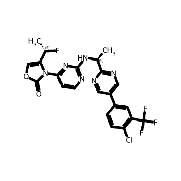 C[C@H](F)c1coc(=O)n1-c1ccnc(N[C@@H](C)c2ncc(-c3ccc(Cl)c(C(F)(F)F)c3)cn2)n1